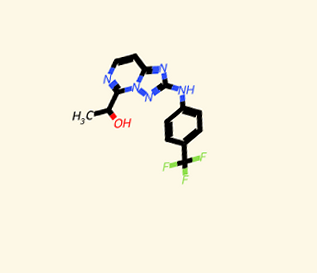 CC(O)c1nccc2nc(Nc3ccc(C(F)(F)F)cc3)nn12